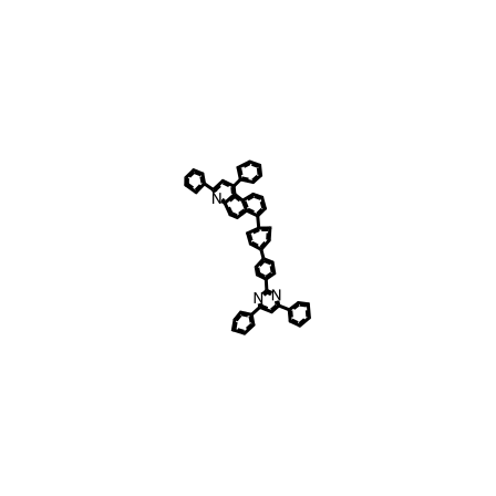 c1ccc(-c2cc(-c3ccccc3)nc(-c3ccc(-c4ccc(-c5cccc6c5ccc5nc(-c7ccccc7)cc(-c7ccccc7)c56)cc4)cc3)n2)cc1